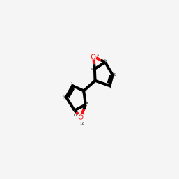 C1=CC(C2C=CC3OC32)C2OC12